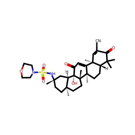 CC1(C)C(=O)C(C#N)=C[C@]2(C)C3=CC(=O)[C@]4(O)[C@@H]5C[C@@](C)(NS(=O)(=O)N6CCOCC6)CC[C@]5(C)CC[C@@]4(C)[C@]3(C)CC[C@@H]12